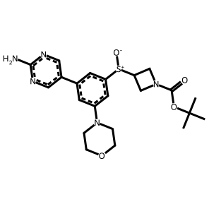 CC(C)(C)OC(=O)N1CC([S+]([O-])c2cc(-c3cnc(N)nc3)cc(N3CCOCC3)c2)C1